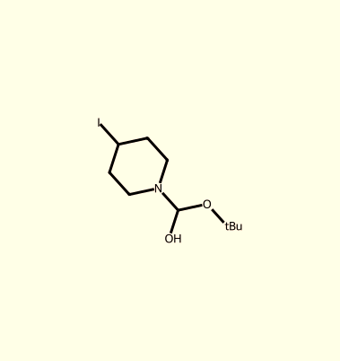 CC(C)(C)OC(O)N1CCC(I)CC1